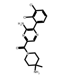 CC1(N)CCN(C(=O)c2cnc(-c3cccc(Cl)c3Cl)c(N)n2)CC1